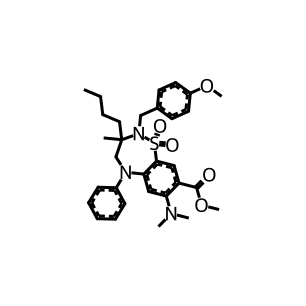 CCCCC1(C)CN(c2ccccc2)c2cc(N(C)C)c(C(=O)OC)cc2S(=O)(=O)N1Cc1ccc(OC)cc1